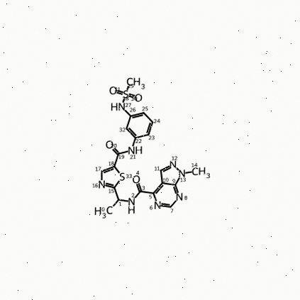 CC(NC(=O)c1ncnc2c1cnn2C)c1ncc(C(=O)Nc2cccc(NS(C)(=O)=O)c2)s1